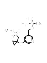 COS(=O)(=O)CC1(Oc2cncc(CO[Si](C)(C)C(C)(C)C)c2)CC1